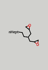 CCCCCCCCCC(CC1CO1)CC1CO1